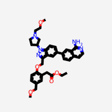 CCOC(=O)Cc1cc(COC)ccc1OCc1nn(C2CCN(CCOC)C2)c2ccc(-c3ccc4ccnc(N)c4c3)cc12